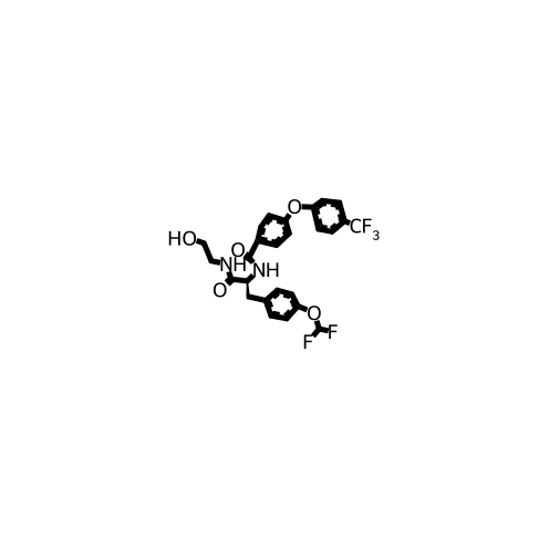 O=C(N[C@@H](Cc1ccc(OC(F)F)cc1)C(=O)NCCO)c1ccc(Oc2ccc(C(F)(F)F)cc2)cc1